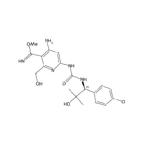 COC(=N)c1c(N)cc(NC(=O)N[C@@H](c2ccc(Cl)cc2)C(C)(C)O)nc1CO